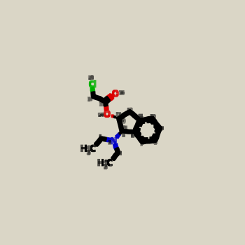 CCN(CC)[C@@H]1c2ccccc2C[C@H]1OC(=O)CCl